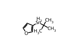 C[C](C)(C)[SnH2][c]1ccoc1